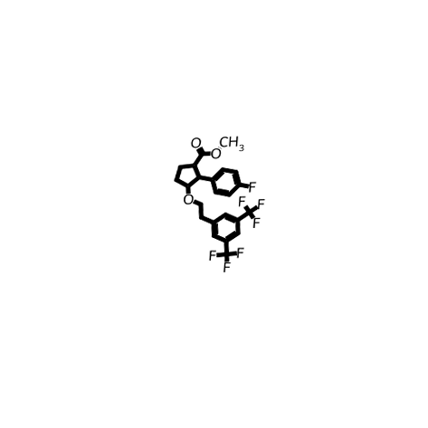 COC(=O)C1CCC(OCCc2cc(C(F)(F)F)cc(C(F)(F)F)c2)C1c1ccc(F)cc1